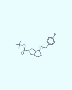 CC(C)(C)OC(=O)N1CC2CCC(NCc3ccc(F)cc3)C2C1